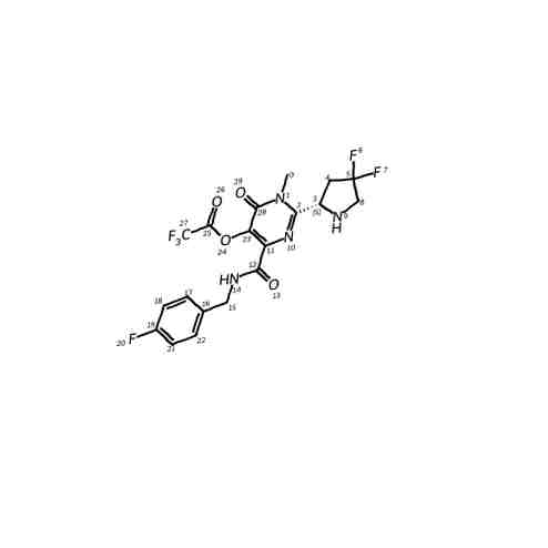 Cn1c([C@@H]2CC(F)(F)CN2)nc(C(=O)NCc2ccc(F)cc2)c(OC(=O)C(F)(F)F)c1=O